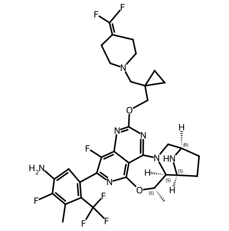 Cc1c(F)c(N)cc(-c2nc3c4c(nc(OCC5(CN6CCC(=C(F)F)CC6)CC5)nc4c2F)N2C[C@H]4CC[C@H](N4)[C@H]2[C@H](C)O3)c1C(F)(F)F